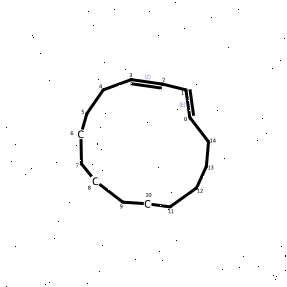 [C]1=C/C=C\CCCCCCCCCCC/1